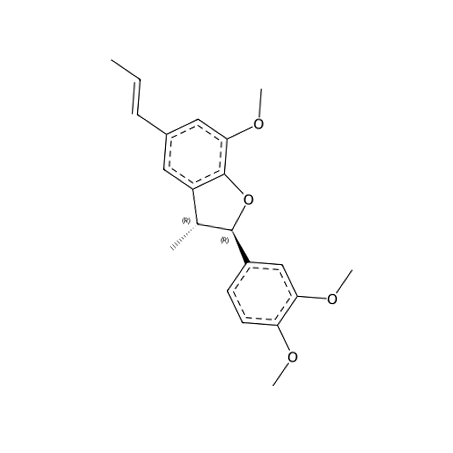 CC=Cc1cc(OC)c2c(c1)[C@@H](C)[C@H](c1ccc(OC)c(OC)c1)O2